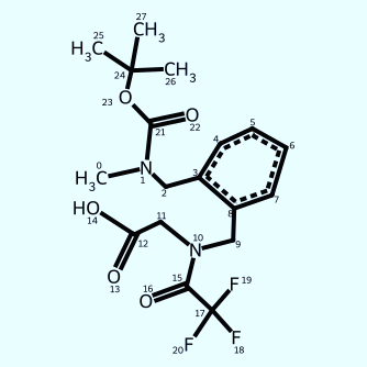 CN(Cc1ccccc1CN(CC(=O)O)C(=O)C(F)(F)F)C(=O)OC(C)(C)C